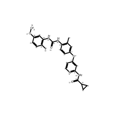 Cc1cc(Oc2ccnc(NC(=O)C3CC3)c2)ccc1NC(=O)Nc1cc(OC(F)(F)F)ccc1F